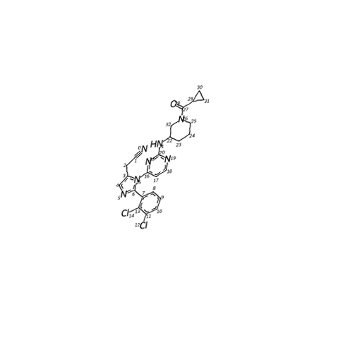 N#CCc1cnc(-c2cccc(Cl)c2Cl)n1-c1ccnc(NC2CCCN(C(=O)C3CC3)C2)n1